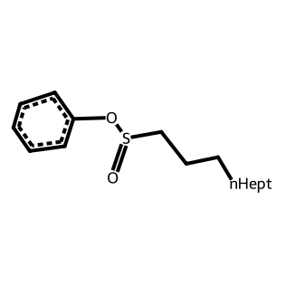 CCCCCCCCCCS(=O)Oc1ccccc1